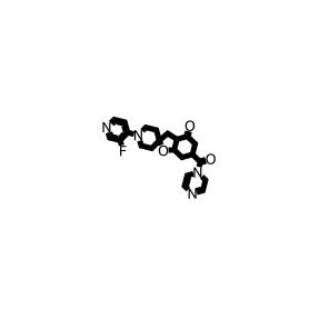 O=C1CC(C(=O)N2C=CN=CC2)CC2OC3(CCN(c4ccncc4F)CC3)CC12